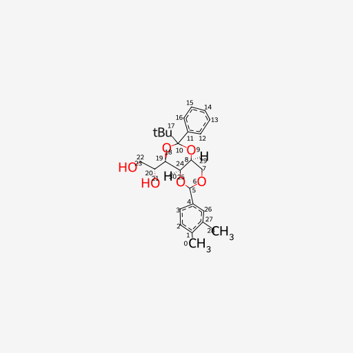 Cc1ccc(C2OC[C@@H]3OC(c4ccccc4)(C(C)(C)C)O[C@H]([C@H](O)CO)[C@@H]3O2)cc1C